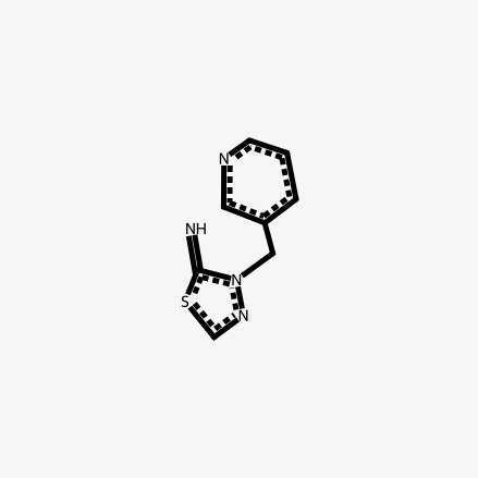 N=c1scnn1Cc1cccnc1